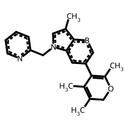 CC1=C(C)C(c2cbc3c(C)cn(Cc4ccccn4)c3c2)=C(C)OC1